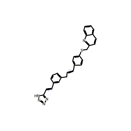 C(=C\c1ccc(SCc2ccc3ccccc3n2)cc1)/Cc1cccc(/C=C/c2nnn[nH]2)c1